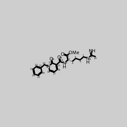 COC(=O)[C@H](CCCCNC(C)=N)NC(=O)c1cccn(Cc2ccccc2)c1=O